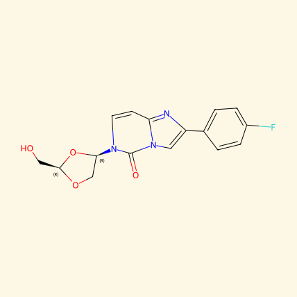 O=c1n([C@H]2CO[C@@H](CO)O2)ccc2nc(-c3ccc(F)cc3)cn12